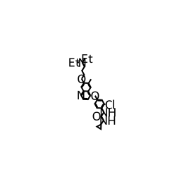 CCN(CC)CCCOc1cc2nccc(Oc3ccc(NC(=O)NC4CC4)c(Cl)c3)c2cc1C